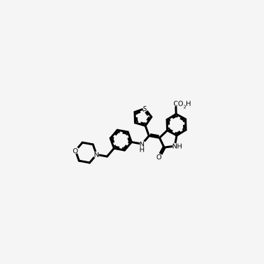 O=C1Nc2ccc(C(=O)O)cc2C1=C(Nc1cccc(CN2CCOCC2)c1)c1ccsc1